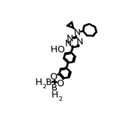 BC1(B)Oc2ccc(-c3ccc(-c4cnc(N(C5CCCCCC5)C5CC5)nn4)c(O)c3)cc2O1